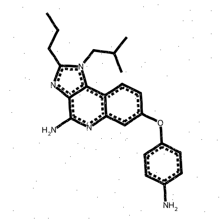 CCCc1nc2c(N)nc3cc(Oc4ccc(N)cc4)ccc3c2n1CC(C)C